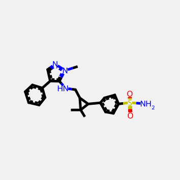 Cn1ncc(-c2ccccc2)c1NCC1C(c2ccc(S(N)(=O)=O)cc2)C1(C)C